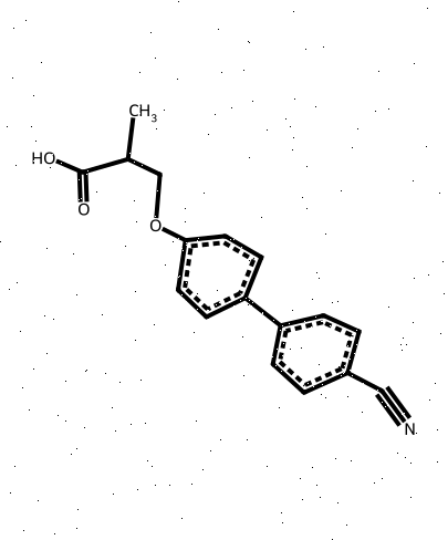 CC(COc1ccc(-c2ccc(C#N)cc2)cc1)C(=O)O